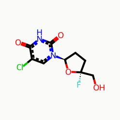 O=c1[nH]c(=O)n([C@H]2CC[C@@](F)(CO)O2)cc1Cl